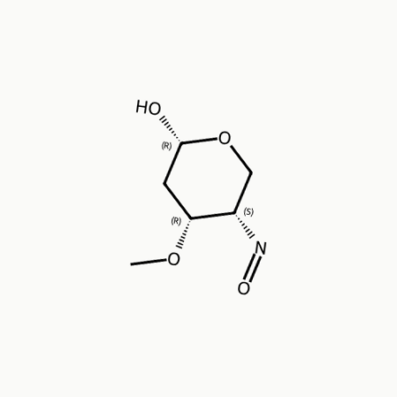 CO[C@@H]1C[C@H](O)OC[C@@H]1N=O